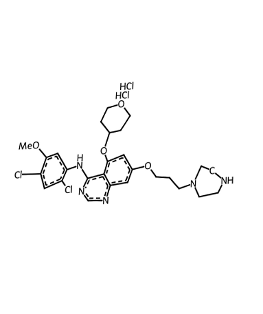 COc1cc(Nc2ncnc3cc(OCCCN4CCNCC4)cc(OC4CCOCC4)c23)c(Cl)cc1Cl.Cl.Cl